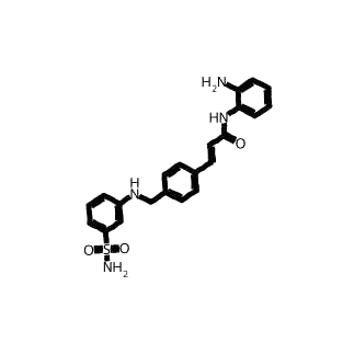 Nc1ccccc1NC(=O)/C=C/c1ccc(CNc2cccc(S(N)(=O)=O)c2)cc1